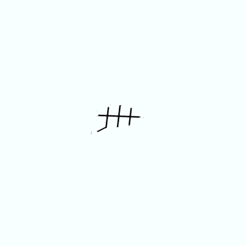 BC(B)(CC)C(C)(C)C(B)(S)CC(C)C